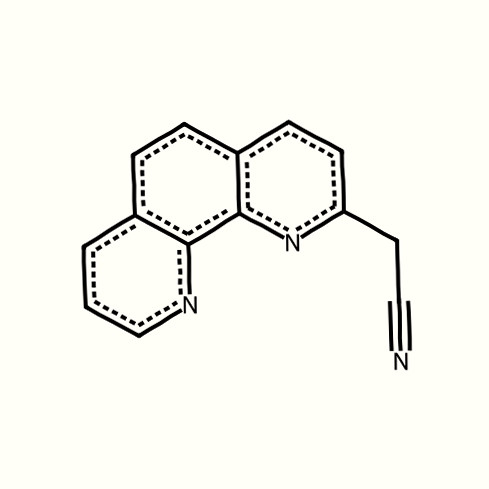 N#CCc1ccc2ccc3cccnc3c2n1